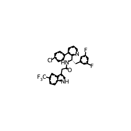 O=C(Cc1c[nH]c2ccc(C(F)(F)F)cc12)N[C@@H](Cc1cc(F)cc(F)c1)c1ncccc1-c1ccc(Cl)cc1